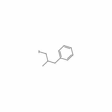 CC(CI)Cc1ccccc1